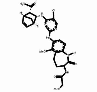 CCN1C(=O)C(NC(=O)COC)CCc2c1ccc(Nc1ncc(Cl)c(N[C@H]3[C@@H](C(N)=O)[C@@H]4C=C[C@H]3C4)n1)c2OC